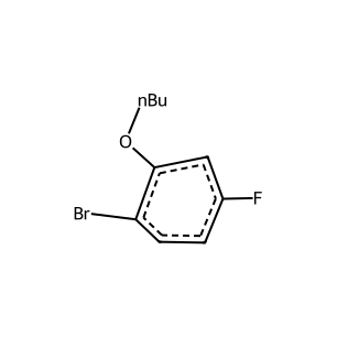 CCCCOc1cc(F)ccc1Br